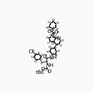 CC(C)(C)OC(=O)NC(Cc1ccc(Cl)cc1)C(=O)Nc1ccc(-c2ccnc3c2ccn3S(=O)(=O)c2ccccc2)cc1